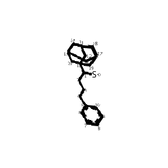 [S]C(CCCc1ccccc1)C12CC3CC(CC(C3)C1)C2